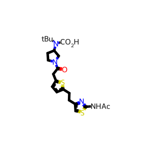 CC(=O)Nc1nc(CCc2ccc(CC(=O)N3CCC(N(C(=O)O)C(C)(C)C)C3)s2)cs1